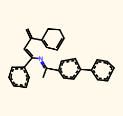 C=C(/C=C(\N=C(/C)c1ccc(-c2ccccc2)cc1)c1ccccc1)C1=CC=CCC1